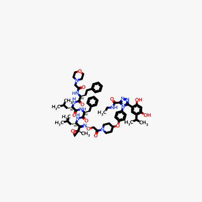 CCNC(=O)c1nnc(-c2cc(C(C)C)c(O)cc2O)n1-c1ccc(OC2CCN(C(=O)CON=C([C@H](CC(C)C)NC(=O)[C@H](Cc3ccccc3)NC(=O)[C@H](CC(C)C)NC(=O)[C@H](CCc3ccccc3)NC(=O)CN3CCOCC3)[C@@]3(C)CO3)CC2)cc1